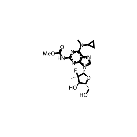 COC(=O)Nc1nc(N(C)C2CC2)c2ncn([C@@H]3O[C@H](CO)[C@@H](O)[C@@]3(C)F)c2n1